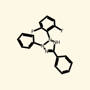 Fc1cccc(F)c1N1NC(c2ccccc2)=NN1c1ccccc1